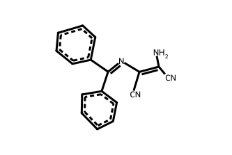 N#CC(N)=C(C#N)N=C(c1ccccc1)c1ccccc1